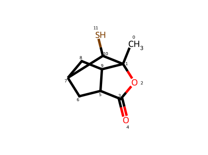 CC12OC(=O)C3CC(CC31)C2S